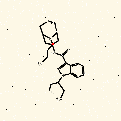 CCCCN1C2COCC1CC(NC(=O)c1nn(C(CC)CC)c3ccccc13)C2